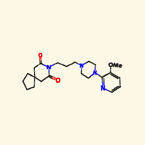 COc1cccnc1N1CCN(CCCN2C(=O)CC3(CCCC3)CC2=O)CC1